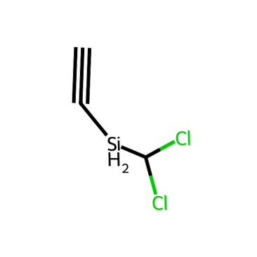 C#C[SiH2]C(Cl)Cl